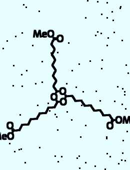 COC(=O)CCCCCCCCCC1OC(CCCCCCCCCC(=O)OC)OC(CCCCCCCCCC(=O)OC)O1